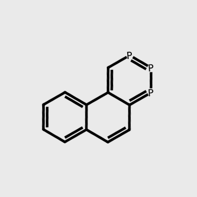 c1ccc2c(c1)ccc1pppcc12